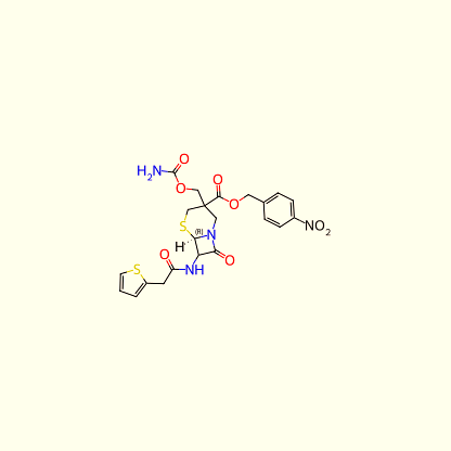 NC(=O)OCC1(C(=O)OCc2ccc([N+](=O)[O-])cc2)CS[C@@H]2C(NC(=O)Cc3cccs3)C(=O)N2C1